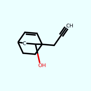 C#CCC12C=CC(CC1)CC2O